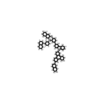 c1cc(-c2cccc3ccccc23)cc(N2c3cc(-c4ccc5c(c4)c4ccccc4n5-c4ccc5c6ccc(-c7ccc8ccccc8c7)cc6c6ccccc6c5c4)ccc3Sc3cc4ccccc4cc32)c1